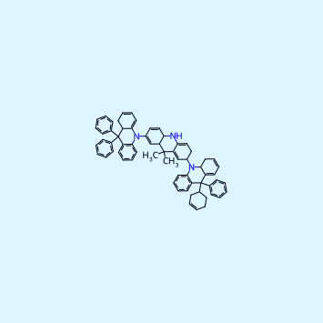 CC1(C)C2=CC(N3c4ccccc4C(c4ccccc4)(C4CC=CCC4)C4=CC=CCC43)CC=C2NC2C=CC(N3C4=CC=CCC4C(c4ccccc4)(c4ccccc4)c4ccccc43)=CC21